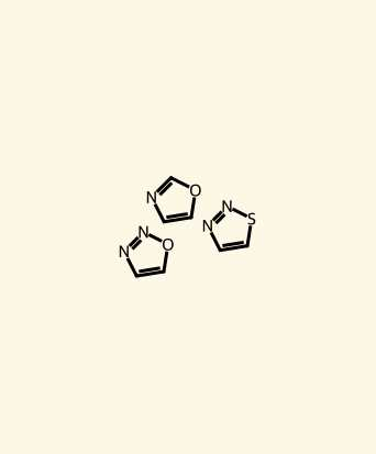 c1cocn1.c1conn1.c1csnn1